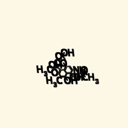 CC(=O)C(=O)Nc1cc(OCC(=O)O)c2c3c(c(C)c(O)c2c1O)OC(C)(O)C3=O